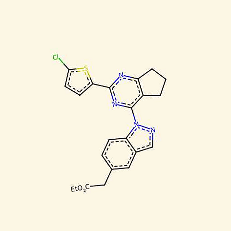 CCOC(=O)Cc1ccc2c(cnn2-c2nc(-c3ccc(Cl)s3)nc3c2CCC3)c1